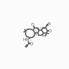 C#CC(=O)N[C@@]1(C)CCC(C)(C)CCC2C(=O)C=C3[C@@]4(C)C=C(C#N)C(=O)C(C)(C)[C@@H]4CC[C@@]3(C)[C@]2(C)CC1